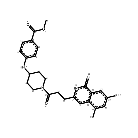 COC(=O)c1ccc(NC2CCN(C(=O)CCc3cc4c(C)cc(F)cc4c(=O)[nH]3)CC2)cc1